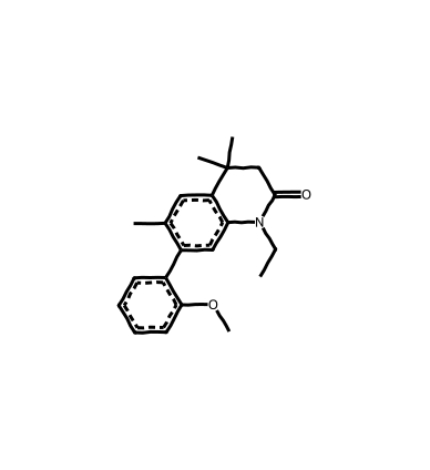 CCN1C(=O)CC(C)(C)c2cc(C)c(-c3ccccc3OC)cc21